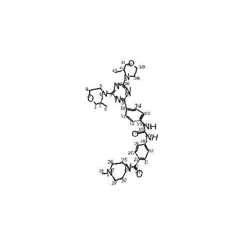 CC1COCCN1c1nc(-c2ccc(NC(=O)Nc3ccc(C(=O)N4CCN(C)CC4)cc3)cc2)nc(N2CCOCC2C)n1